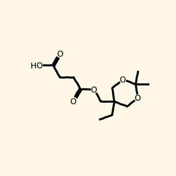 CCC1(COC(=O)CCC(=O)O)COC(C)(C)OC1